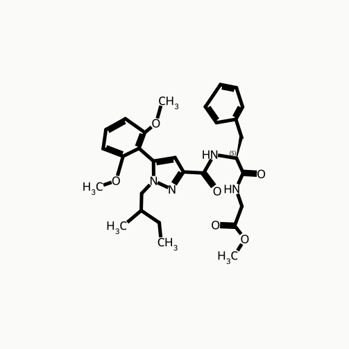 CCC(C)Cn1nc(C(=O)N[C@@H](Cc2ccccc2)C(=O)NCC(=O)OC)cc1-c1c(OC)cccc1OC